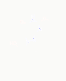 CCOc1nc2nn(-c3c(O)cc(C)cc3F)c(C)c2c(=O)[nH]1